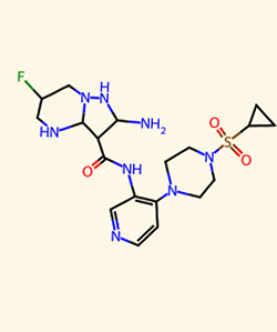 NC1NN2CC(F)CNC2C1C(=O)Nc1cnccc1N1CCN(S(=O)(=O)C2CC2)CC1